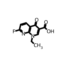 CCn1cc(C(=O)O)c(=O)c2ccc(F)nc21